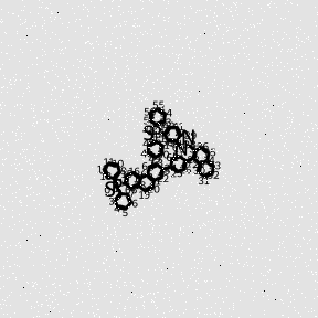 S=P(c1ccccc1)(c1ccccc1)c1ccc2c(ccc3cc(-c4ccc5c6c7ccccc7ccc6c6nc7ccc(P(=S)(c8ccccc8)c8ccccc8)cc7n6c5c4)ccc32)c1